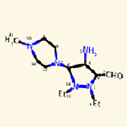 CCN1C(C=O)C(N)C(N2CCN(C)CC2)N1CC